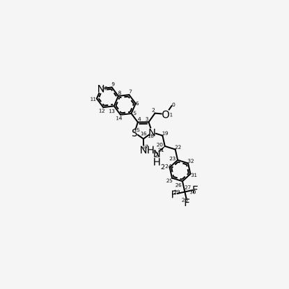 COCC1=C(c2ccc3cnccc3c2)SC(N)N1C[C@H](N)Cc1ccc(C(F)(F)F)cc1